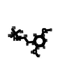 COc1ccc(OC)c(CCNC(C)(C)C)c1